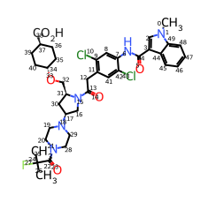 Cn1cc(C(=O)Nc2cc(Cl)c(CC(=O)N3C[C@@H](N4CCN(C(=O)C(C)(C)F)CC4)C[C@H]3CO[C@H]3CC[C@H](C(=O)O)CC3)cc2Cl)c2ccccc21